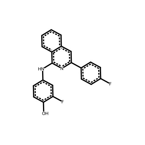 Oc1ccc(Nc2nc(-c3ccc(F)cc3)cc3ccccc23)cc1F